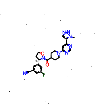 Cn1nncc1-c1cc(N2CCC(C(=O)N3OCC[C@H]3c3cc(F)cc(C#N)c3)CC2)ncn1